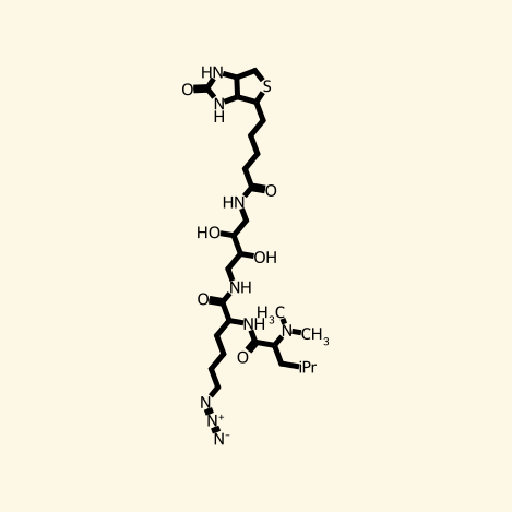 CC(C)CC(C(=O)NC(CCCCN=[N+]=[N-])C(=O)NCC(O)C(O)CNC(=O)CCCCC1SCC2NC(=O)NC21)N(C)C